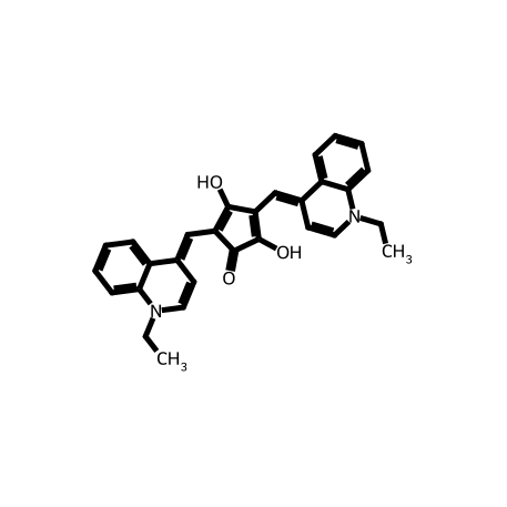 CCN1C=C/C(=C\C2=C(O)C(/C=C3\C=CN(CC)c4ccccc43)=C(O)C2=O)c2ccccc21